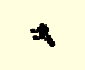 CC(C)(C)c1cc(P(c2cc(C(C)(C)C)cc(C(C)(C)C)c2)C2(NCCSc3ccc4ccccc4c3)CC=CC3=C2[C@@]2(CC3)CCc3ccccc32)cc(C(C)(C)C)c1